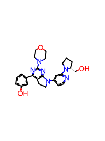 OC[C@H]1CCCN1c1cc(N2CCc3c(-c4cccc(O)c4)nc(N4CCOCC4)nc32)ccn1